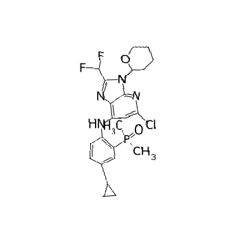 CP(C)(=O)c1cc(C2CC2)ccc1Nc1cc(Cl)nc2c1nc(C(F)F)n2C1CCCCO1